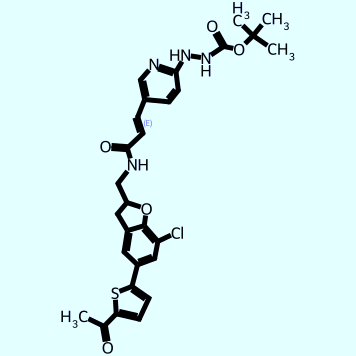 CC(=O)c1ccc(-c2cc(Cl)c3c(c2)CC(CNC(=O)/C=C/c2ccc(NNC(=O)OC(C)(C)C)nc2)O3)s1